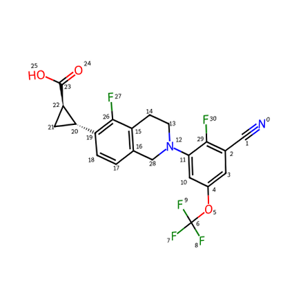 N#Cc1cc(OC(F)(F)F)cc(N2CCc3c(ccc([C@@H]4C[C@H]4C(=O)O)c3F)C2)c1F